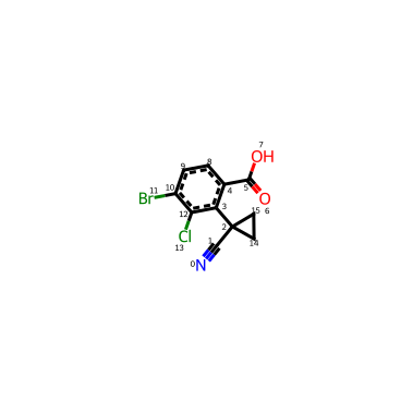 N#CC1(c2c(C(=O)O)ccc(Br)c2Cl)CC1